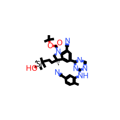 Cc1ccc(C#N)cc1Nc1ncnc(-c2cc(C#N)c3c(c2)[C@@](C)(CCC(C)(C)[Si](C)(C)O)CN3C(=O)OC(C)(C)C)n1